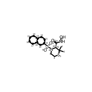 CC1(C)SCCN(S(=O)(=O)c2ccc3ccccc3c2)[C@H]1C(=O)NO